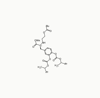 CCC(C)C(=O)OCCN[C@@H](Cc1ccc(OC(=O)OC(C)C(C)C)c(OC(=O)OC(C)C(C)C)c1)C(=O)OC